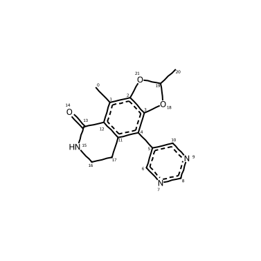 Cc1c2c(c(-c3cncnc3)c3c1C(=O)NCC3)OC(C)O2